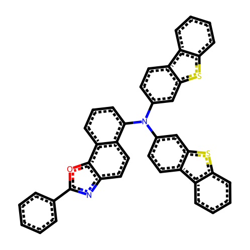 c1ccc(-c2nc3ccc4c(N(c5ccc6c(c5)sc5ccccc56)c5ccc6c(c5)sc5ccccc56)cccc4c3o2)cc1